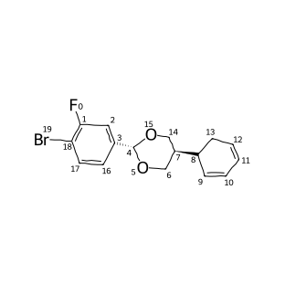 Fc1cc([C@H]2OC[C@H](C3C=CC=CC3)CO2)ccc1Br